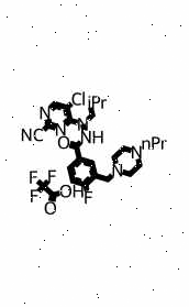 CCCN1CCN(Cc2cc(C(=O)NN(CC(C)C)c3nc(C#N)ncc3Cl)ccc2F)CC1.O=C(O)C(F)(F)F